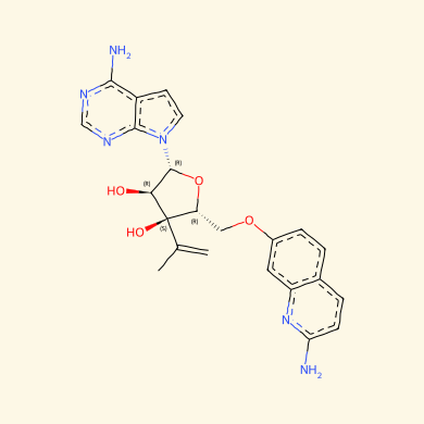 C=C(C)[C@@]1(O)[C@@H](COc2ccc3ccc(N)nc3c2)O[C@@H](n2ccc3c(N)ncnc32)[C@@H]1O